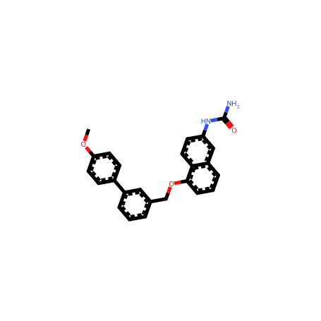 COc1ccc(-c2cccc(COc3cccc4cc(NC(N)=O)ccc34)c2)cc1